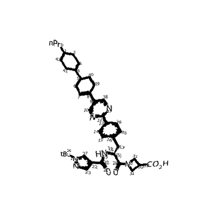 CCCC1CCC(C2CC=C(c3cnc(-c4ccc(C[C@H](NC(=O)c5cnn(C(C)(C)C)c5)C(=O)N5CC(C(=O)O)C5)cc4)nc3)CC2)CC1